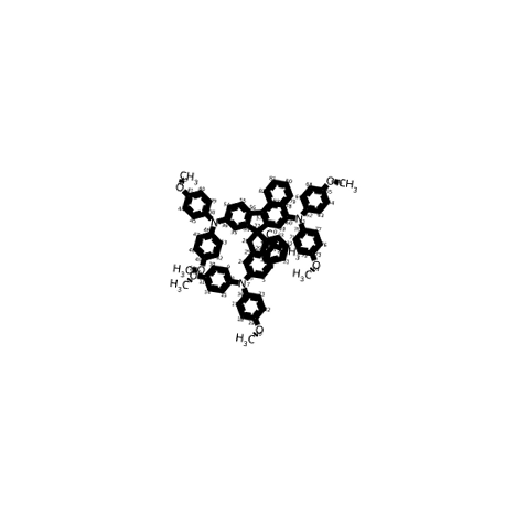 C=C(C)c1ccc(N(c2ccc(OC)cc2)c2ccc(OC)cc2)cc1CC1(c2ccccc2)c2cc(N(c3ccc(OC)cc3)c3ccc(OC)cc3)ccc2-c2c1cc(N(c1ccc(OC)cc1)c1ccc(OC)cc1)c1ccccc21